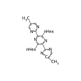 CCCCCCc1nc(-c2ncc(C)cn2)c(CCCCCC)nc1-c1ncc(C)cn1